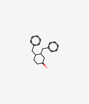 O=C1CC[C](Cc2ccccc2)[C](Cc2ccccc2)C1